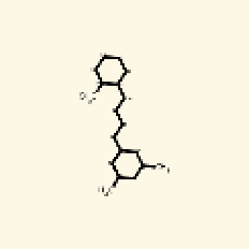 CC1CC(C)CC(CCCCC2CCCCC2C=O)C1